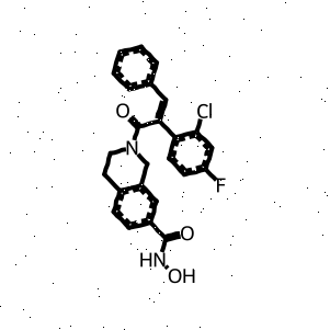 O=C(NO)c1ccc2c(c1)CN(C(=O)C(=Cc1ccccc1)c1ccc(F)cc1Cl)CC2